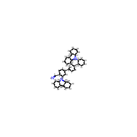 N#Cc1ccc(-c2ccc(-c3ccccc3-n3c4ccccc4c4ccccc43)cc2)cc1-n1c2ccccc2c2ccccc21